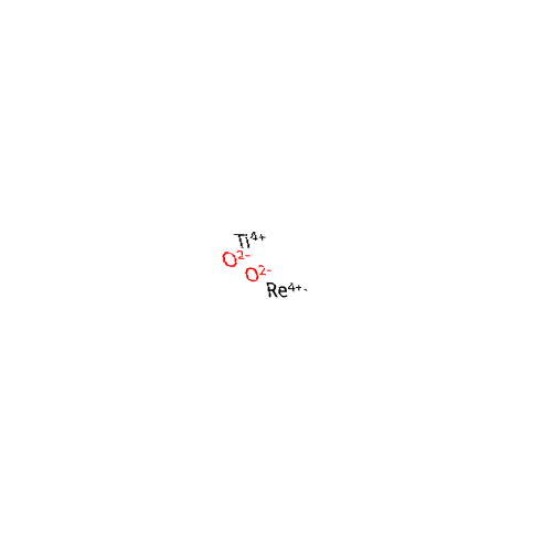 [O-2].[O-2].[Re+4].[Ti+4]